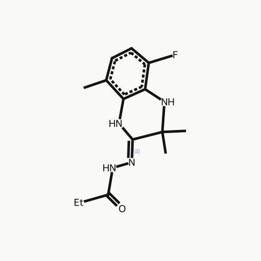 CCC(=O)N/N=C1\Nc2c(C)ccc(F)c2NC1(C)C